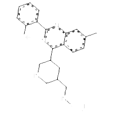 Cc1ccc2c(C3CNCC(CNC(=O)O)C3)nc(-c3ccccc3O)nc2c1